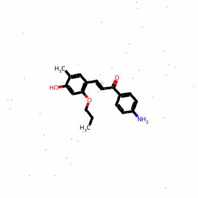 CCCOc1cc(O)c(C)cc1/C=C/C(=O)c1ccc(N)cc1